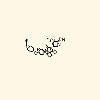 C#CCN1CCC(Oc2ccc(N3C(=S)N(c4cnc(C#N)c(C(F)(F)F)c4)C(=O)C34CCC4)cn2)CC1